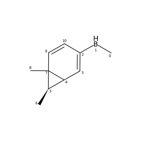 CBC1=CC2[C@@H](C)C2(C)C=C1